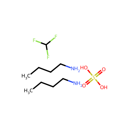 CCCCN.CCCCN.FC(F)F.O=S(=O)(O)O